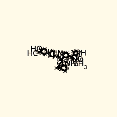 C#CC1(O)CCN(C2CCN(c3nc([C@@](CO)(OC4CC4)c4ccccc4)c4cc(-c5cn(C)c(=O)c6[nH]ccc56)ccc4n3)CC2)CC1